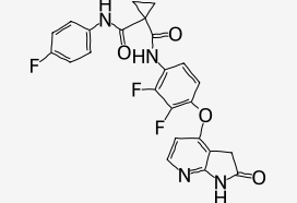 O=C1Cc2c(Oc3ccc(NC(=O)C4(C(=O)Nc5ccc(F)cc5)CC4)c(F)c3F)ccnc2N1